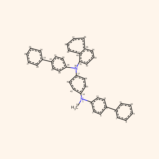 CN(c1ccc(-c2ccccc2)cc1)c1ccc(N(c2ccc(-c3ccccc3)cc2)c2cccc3ccccc23)cc1